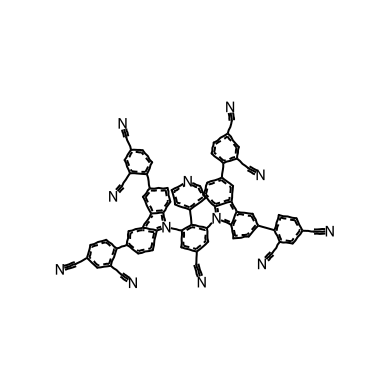 N#Cc1ccc(-c2ccc3c(c2)c2cc(-c4ccc(C#N)cc4C#N)ccc2n3-c2cc(C#N)cc(-n3c4ccc(-c5ccc(C#N)cc5C#N)cc4c4cc(-c5ccc(C#N)cc5C#N)ccc43)c2-c2ccncc2)c(C#N)c1